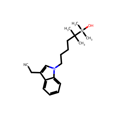 CC(C)(CCCCn1cc(CC#N)c2ccccc21)[Si](C)(C)O